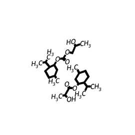 CC(O)COC(=O)OC1CC(C)CCC1C(C)C.CC1CCC(C(C)C)C(OC(=O)C(C)O)C1